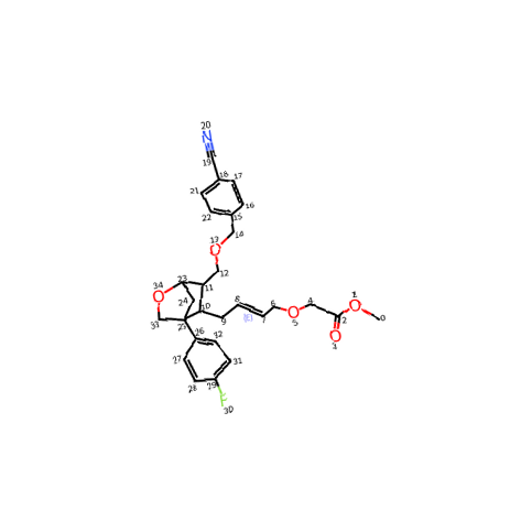 COC(=O)COC/C=C/CC1C(COCc2ccc(C#N)cc2)C2CC1(c1ccc(F)cc1)CO2